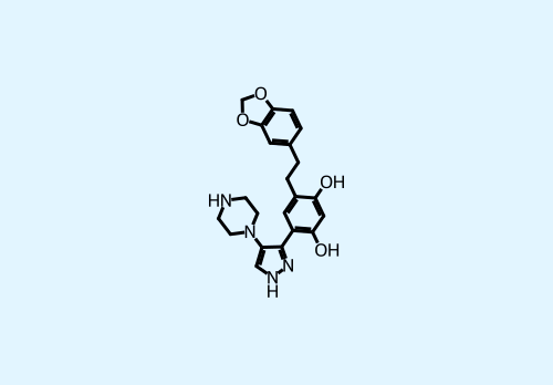 Oc1cc(O)c(-c2n[nH]cc2N2CCNCC2)cc1CCc1ccc2c(c1)OCO2